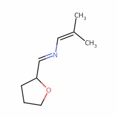 CC(C)=C/N=C/C1CCCO1